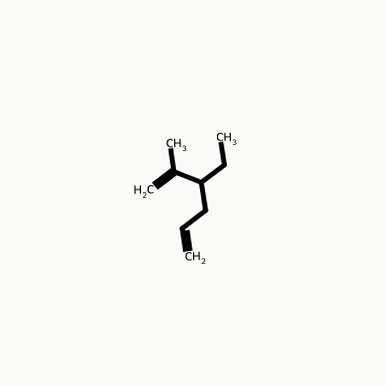 C=CCC(CC)C(=C)C